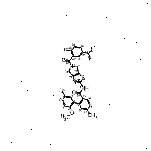 COc1cnc(Cl)cc1-c1cc(C)ncc1C(=O)Nc1nc2c(s1)CN(C(=O)c1cc(C(F)F)ccc1F)C2